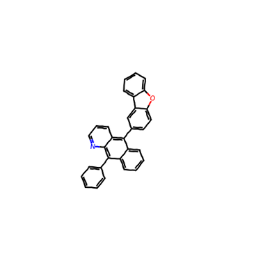 c1ccc(-c2c3ccccc3c(-c3ccc4oc5ccccc5c4c3)c3cccnc23)cc1